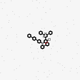 Clc1ccc(N(c2ccc(-c3ccc(-c4ccccc4)cc3)cc2)c2ccccc2-c2ccccc2)cc1-c1cc(-c2ccccc2)nc(-c2ccccc2)n1